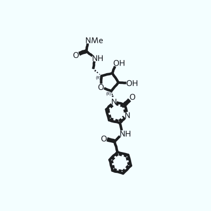 CNC(=O)NC[C@H]1O[C@@H](n2ccc(NC(=O)c3ccccc3)nc2=O)C(O)C1O